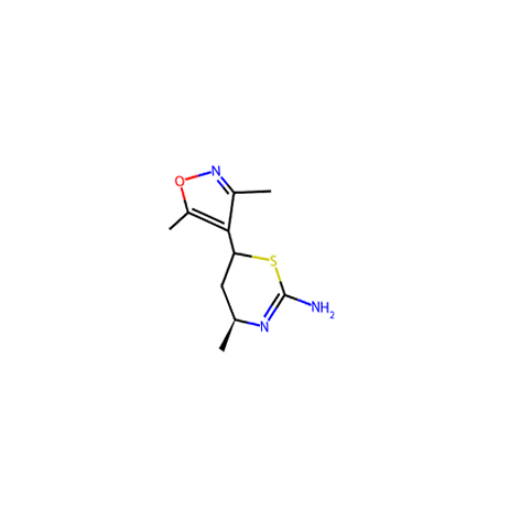 Cc1noc(C)c1C1C[C@H](C)N=C(N)S1